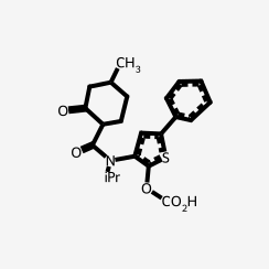 CC1CCC(C(=O)N(c2cc(-c3ccccc3)sc2OC(=O)O)C(C)C)C(=O)C1